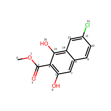 COC(=O)c1c(O)cc2ccc(Cl)cc2c1O